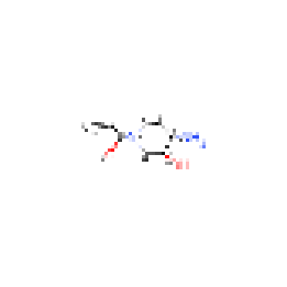 N#CCC(=O)N1CC[C@H](N)[C@@H](O)C1